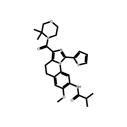 COc1cc2c(cc1NC(=O)C(C)C)-n1c(-c3cccs3)nc(C(=O)N3CCOCC3(C)C)c1CC2